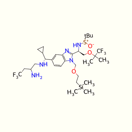 CC(C)(C)[S@@+]([O-])N[C@@H](COC(C)(C)C(F)(F)F)c1nc2cc([C@H](NCC(N)CC(F)(F)F)C3CC3)ccc2n1COCC[Si](C)(C)C